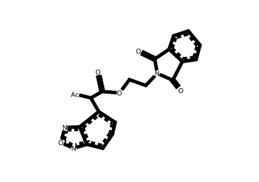 CC(=O)C(C(=O)OCCN1C(=O)c2ccccc2C1=O)c1cccc2nonc12